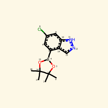 CC1(C)OB(c2cc(Cl)cc3[nH]ncc23)OC1(C)C